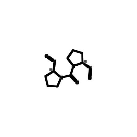 O=N[C@@H]1CCCN1C(=O)N1CCC[C@H]1N=O